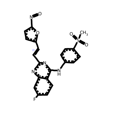 CS(=O)(=O)c1ccc(Nc2nc(/C=C/c3ccc(N=O)o3)nc3cc(F)ccc23)cc1